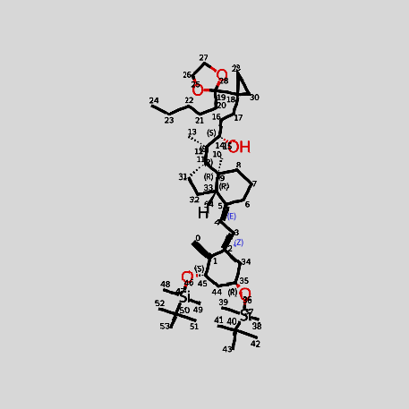 C=C1/C(=C\C=C2/CCC[C@]3(C)[C@@H]([C@H](C)[C@@H](O)CCC4(C5(CCCCC)OCCO5)CC4)CC[C@@H]23)C[C@@H](O[Si](C)(C)C(C)(C)C)C[C@@H]1O[Si](C)(C)C(C)(C)C